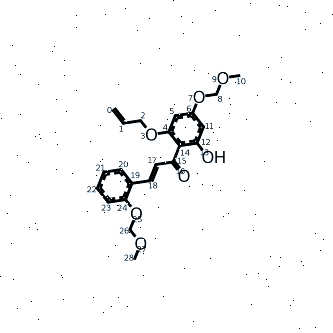 C=CCOc1cc(OCOC)cc(O)c1C(=O)C=Cc1ccccc1OCOC